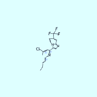 CCC/C=C/N=C(\C=C(/C)Cl)c1cnc2cc(C(F)(F)F)ccn12